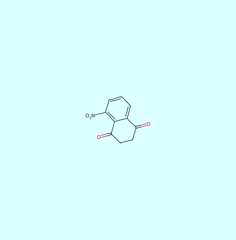 O=C1CCC(=O)c2c1cccc2[N+](=O)[O-]